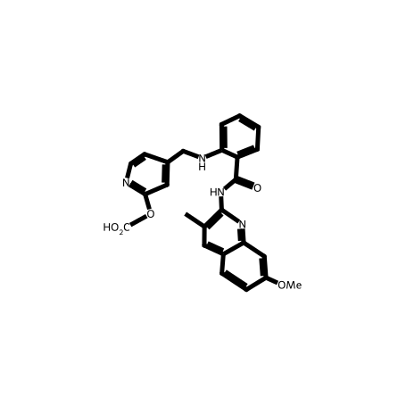 COc1ccc2cc(C)c(NC(=O)c3ccccc3NCc3ccnc(OC(=O)O)c3)nc2c1